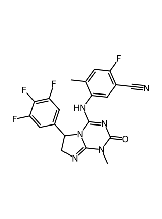 Cc1cc(F)c(C#N)cc1NC1=NC(=O)N(C)C2=NCC(c3cc(F)c(F)c(F)c3)N12